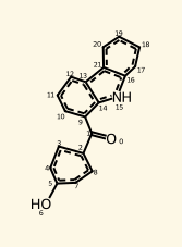 O=C(c1ccc(O)cc1)c1cccc2c1[nH]c1ccccc12